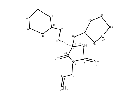 C=CCN1C(=N)N[C@](CCC2CCCCC2)(CC2CCCCC2)C1=O